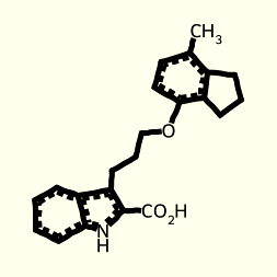 Cc1ccc(OCCCc2c(C(=O)O)[nH]c3ccccc23)c2c1CCC2